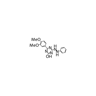 COc1ccc(-c2nc(O)nc(NNc3ccccc3)n2)cc1OC